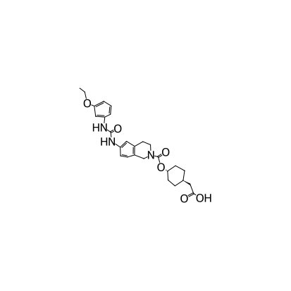 CCOc1cccc(NC(=O)Nc2ccc3c(c2)CCN(C(=O)O[C@H]2CC[C@H](CC(=O)O)CC2)C3)c1